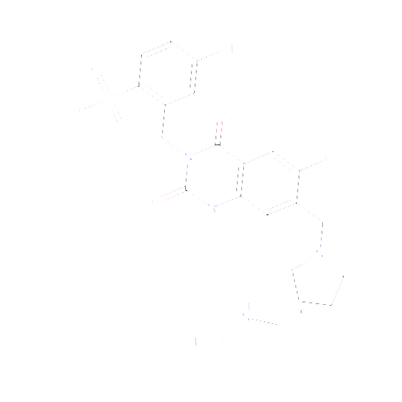 CCS(=O)(=O)c1ccc(Cl)cc1Cn1c(=O)[nH]c2cc(CN3CC[C@H](CNC(=O)O)C3)c(C(F)(F)F)cc2c1=O